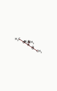 CCCCCCCCCOC(=O)CCCCCCCN(CCCCCCCC(=O)OCCCCCCCCC)CCCCN(C)C